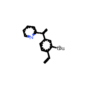 C=Cc1ccc(C(=C)c2ccccn2)cc1C(C)(C)C